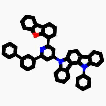 c1ccc(-c2cccc(-c3cc(-n4c5ccccc5c5c4ccc4c6ccccc6n(-c6ccccc6)c45)cc(-c4cccc5c4oc4ccccc45)n3)c2)cc1